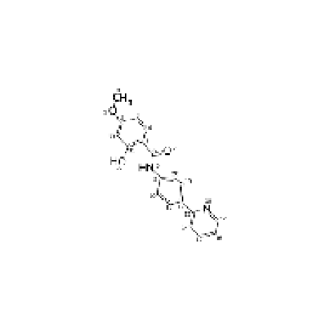 COc1ccc(C(=O)Nc2ccc(-c3ccccn3)cc2)c(O)c1